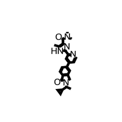 Cc1[nH]c(-c2cc(-c3ccc4c(c3)CN(C(C)C3CC3)C4=O)ccn2)nc1C(=O)N(C)C